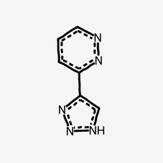 c1cnnc(-c2c[nH]nn2)c1